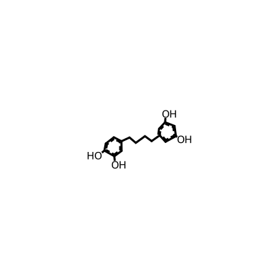 Oc1cc(O)cc(CCCCc2ccc(O)c(O)c2)c1